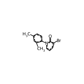 Cc1ccc(-n2cccc(Br)c2=O)c(C)c1